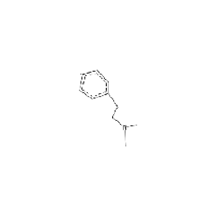 CN(C)CCc1cc[c]cc1